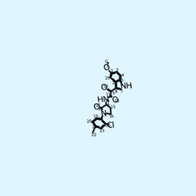 COc1ccc2[nH]cc(C(=O)C(=O)NC3CCN(c4ccc(C)cc4Cl)C3=O)c2c1